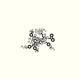 COc1ccc(COCC2O[C@@H](O[C@@H]3C(NC(=O)Nc4cccc(C(F)(F)F)c4)COC(COCc4ccc(OC)cc4)[C@@H]3NC(=O)C(CCC(=O)OC(C)(C)C)NC(=O)OCC3c4ccccc4-c4ccccc43)C(NC(=O)Nc3cccc(C(F)(F)F)c3)[C@@H](C)[C@@H]2C)cc1